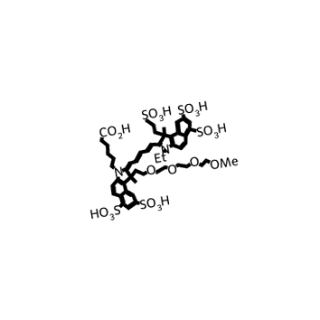 CC[N+]1=C(/C=C/C=C/C=C2/N(CCCCCC(=O)O)c3ccc4c(S(=O)(=O)O)cc(S(=O)(=O)O)cc4c3C2(C)CCOCCOCCOCCOC)C(C)(CCCS(=O)(=O)O)c2c1ccc1c(S(=O)(=O)O)cc(S(=O)(=O)O)cc21